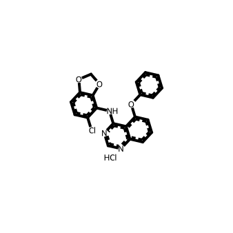 Cl.Clc1ccc2c(c1Nc1ncnc3cccc(Oc4ccccc4)c13)OCO2